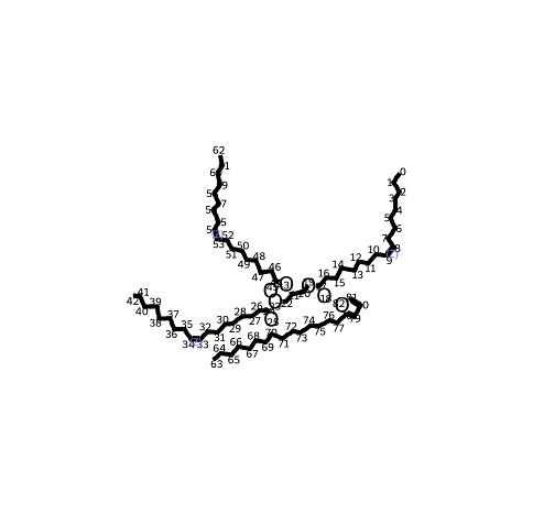 CCCCCCCC/C=C\CCCCCCCC(=O)OCC(COC(=O)CCCCCCC/C=C\CCCCCCCC)OC(=O)CCCCCCC/C=C\CCCCCCCC.CCCCCCCCCCCCCCCc1ccco1